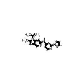 Cc1nc2cnc(Nc3ccnc(-n4nccn4)n3)cc2n1C(C)C